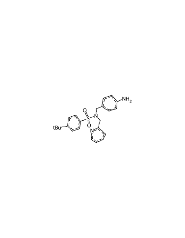 CC(C)(C)c1ccc(S(=O)(=O)N(Cc2ccc(N)cc2)Cc2ccccn2)cc1